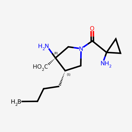 BCCC[C@H]1CN(C(=O)C2(N)CC2)C[C@@]1(N)C(=O)O